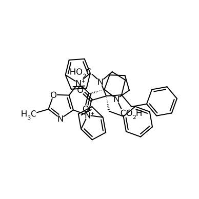 Cc1nc([N+]2(C(=O)[C@]3(Cc4ccccc4)C(Cc4ccccc4)CCN3C(=O)O)C3=CC=C2C=C3)c([N+]2(C(=O)[C@@H]3CCCN3C(=O)O)C3=CC=C2C=C3)o1